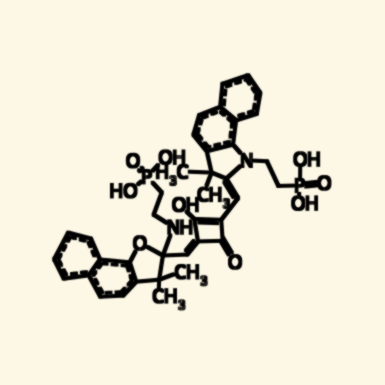 CC1(C)C(=CC2=C(O)C(=CC3(NCCP(=O)(O)O)Oc4c(ccc5ccccc45)C3(C)C)C2=O)N(CCP(=O)(O)O)c2c1ccc1ccccc21